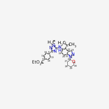 C=C(C)c1c(Nc2nc(-c3ccc(C(=O)OCC)cc3)nn2C)ccc2c1cnn2C1CCCCO1